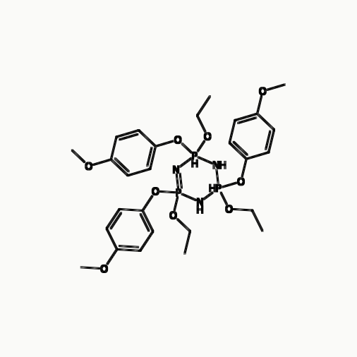 CCOP1(Oc2ccc(OC)cc2)=N[PH](OCC)(Oc2ccc(OC)cc2)N[PH](OCC)(Oc2ccc(OC)cc2)N1